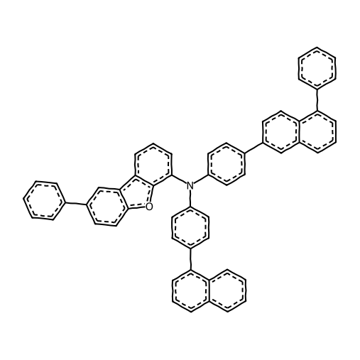 c1ccc(-c2ccc3oc4c(N(c5ccc(-c6ccc7c(-c8ccccc8)cccc7c6)cc5)c5ccc(-c6cccc7ccccc67)cc5)cccc4c3c2)cc1